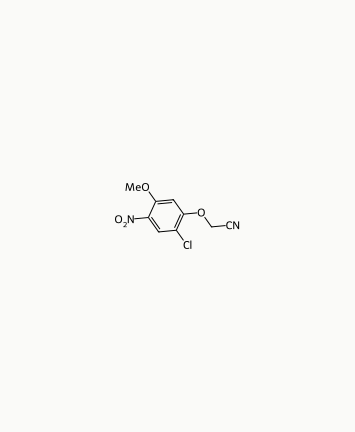 COc1cc(OCC#N)c(Cl)cc1[N+](=O)[O-]